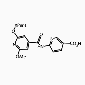 CCCCCOc1cc(C(=O)Nc2ccc(C(=O)O)cn2)cc(OC)n1